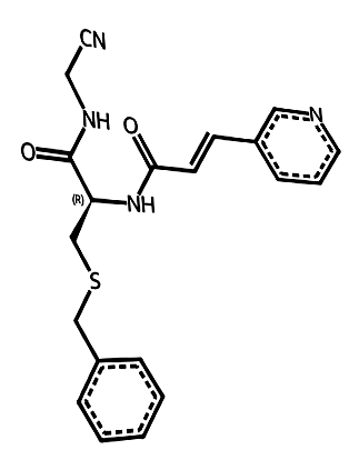 N#CCNC(=O)[C@H](CSCc1ccccc1)NC(=O)C=Cc1cccnc1